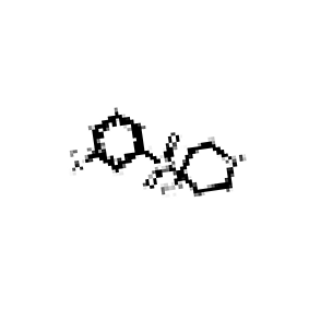 CCC1(S(=O)(=O)c2cccc(C(F)(F)F)c2)CCOCC1